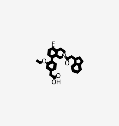 CCOc1cc(CC(=O)O)ccc1-c1ccc(F)c2c1CN(C(=O)CC1CCc3ccccc31)CC2